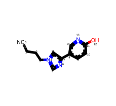 N#CCCCn1cnc(-c2ccc(O)nc2)c1